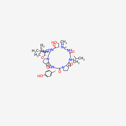 CC(C)C[C@@H]1NC(=O)[C@H]2CCCN2C(=O)[C@H](Cc2ccc(O)cc2)NC(=O)[C@@H]2CCCN2[C@H](C(=O)NC(C)(C)C)[C@@H](C)NC(=O)[C@H]([C@@H](C)O)NCNC1=O